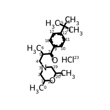 CC1CN(CC(C)C(=O)c2ccc(C(C)(C)C)cc2)CC(C)O1.Cl